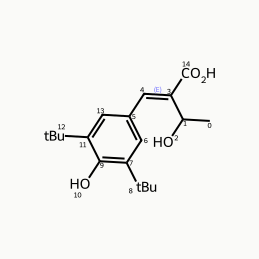 CC(O)/C(=C\c1cc(C(C)(C)C)c(O)c(C(C)(C)C)c1)C(=O)O